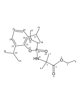 CCOC(=O)C(C)(C)NP(=O)(COC)Oc1c(C(C)C)cccc1C(C)C